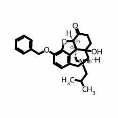 CC(C)CN1CC[C@]23c4c5ccc(OCc6ccccc6)c4O[C@H]2C(=O)CCC3(O)[C@H]1C5